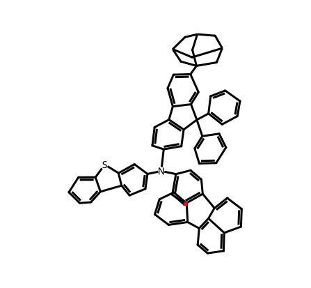 c1ccc(-c2cccc3cccc(-c4ccc(N(c5ccc6c(c5)C(c5ccccc5)(c5ccccc5)c5cc(C78CC9CC(CC(C9)C7)C8)ccc5-6)c5ccc6c(c5)sc5ccccc56)cc4)c23)cc1